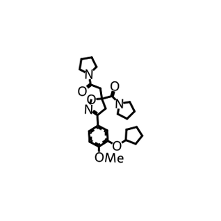 COc1ccc(C2=NOC(CC(=O)N3CCCC3)(C(=O)N3CCCC3)C2)cc1OC1CCCC1